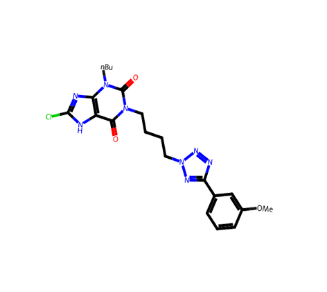 CCCCn1c(=O)n(CCCCn2nnc(-c3cccc(OC)c3)n2)c(=O)c2[nH]c(Cl)nc21